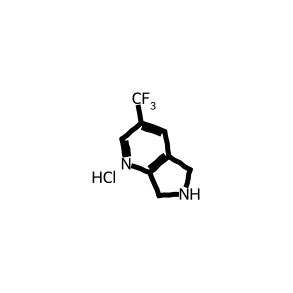 Cl.FC(F)(F)c1cnc2c(c1)CNC2